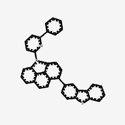 c1ccc(-c2cccc(-n3c4cccc5ccc6c(-c7ccc8sc9ccccc9c8c7)ccc3c6c54)n2)cc1